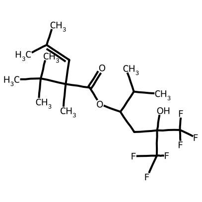 CC(C)=CC(C)(C(=O)OC(CC(O)(C(F)(F)F)C(F)(F)F)C(C)C)C(C)(C)C